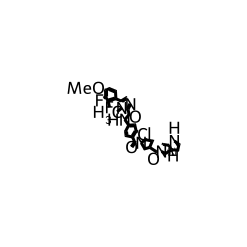 COc1ccc(-c2cnc(C(=O)Nc3ccc(C(=O)N4CCC(C(=O)N5CC6NCC[C@@H]6C5)C4)c(Cl)c3)n2C)c(F)c1F